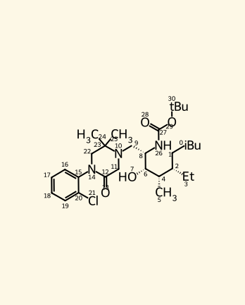 CCC(C)C[C@H](CC)[C@H](C)[C@H](O)[C@H](CN1CC(=O)N(c2ccccc2Cl)CC1(C)C)NC(=O)OC(C)(C)C